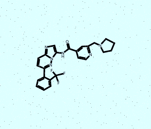 O=C(Nc1cnc2ccc(-c3ccccc3C(F)(F)F)nn12)c1ccnc(CN2CCCC2)c1